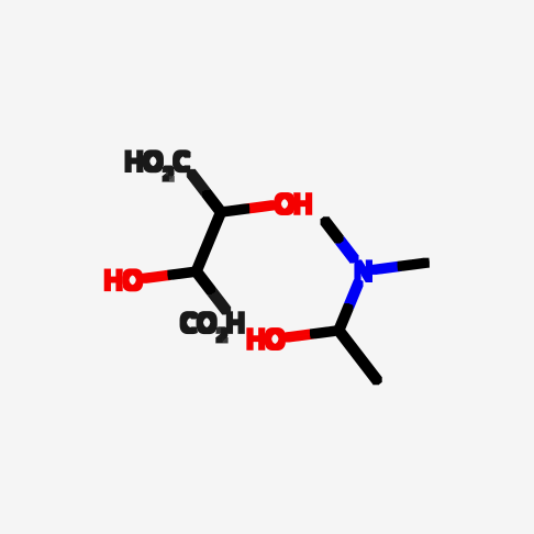 CC(O)N(C)C.O=C(O)C(O)C(O)C(=O)O